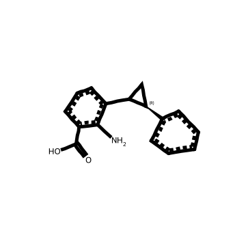 Nc1c(C(=O)O)cccc1C1C[C@H]1c1ccccc1